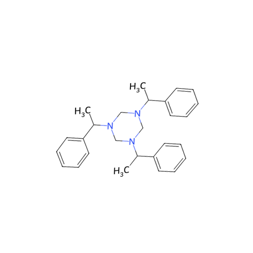 CC(c1ccccc1)N1CN(C(C)c2ccccc2)CN(C(C)c2ccccc2)C1